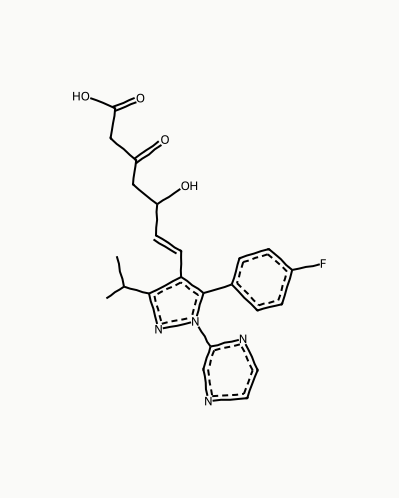 CC(C)c1nn(-c2cnccn2)c(-c2ccc(F)cc2)c1C=CC(O)CC(=O)CC(=O)O